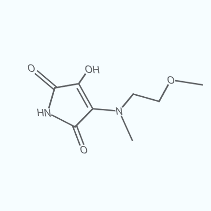 COCCN(C)C1=C(O)C(=O)NC1=O